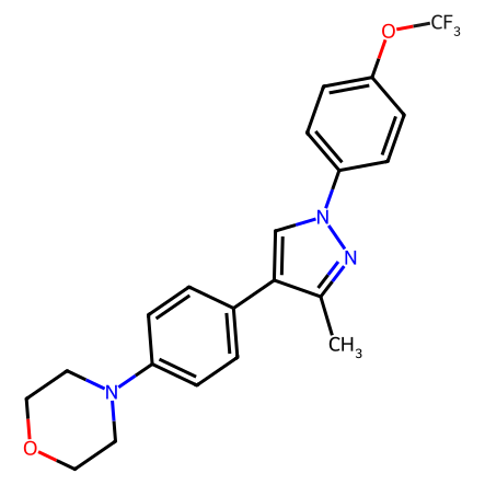 Cc1nn(-c2ccc(OC(F)(F)F)cc2)cc1-c1ccc(N2CCOCC2)cc1